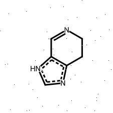 [C]1=NCCc2nc[nH]c21